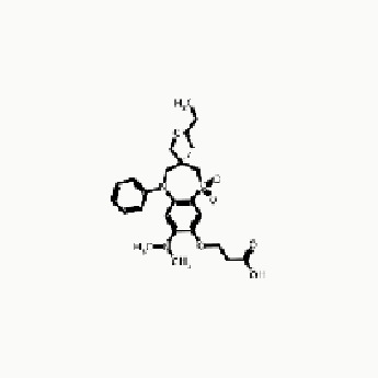 CCCC[C@@]1(CC)CN(c2ccccc2)c2cc(N(C)C)c(OCCC(=O)O)cc2S(=O)(=O)C1